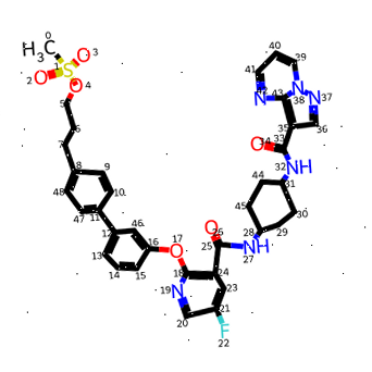 CS(=O)(=O)OCCCc1ccc(-c2cccc(Oc3ncc(F)cc3C(=O)NC3CCC(NC(=O)c4cnn5cccnc45)CC3)c2)cc1